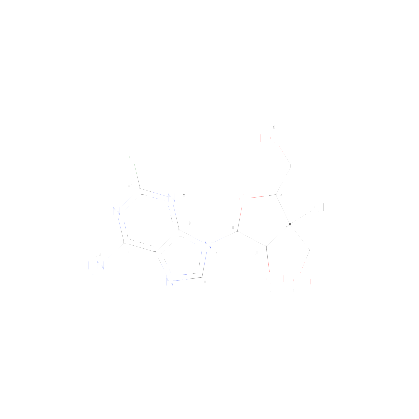 CC1(CO)C(CO)OC(n2cnc3c(N)nc(Cl)nc32)C1O